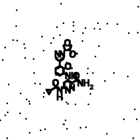 COc1c(Nc2cc(NC(=O)C3CC3)nnc2C(N)=O)cccc1-c1cnn(C2COCC2OC)c1